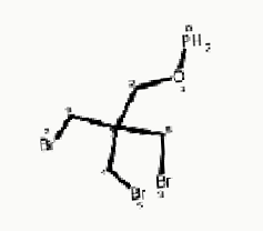 POCC(CBr)(CBr)CBr